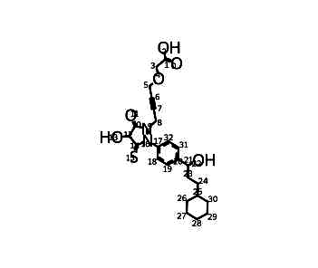 O=C(O)COCC#CCN1C(=O)C(O)C(=S)N1c1ccc(C(O)CCC2CCCCC2)cc1